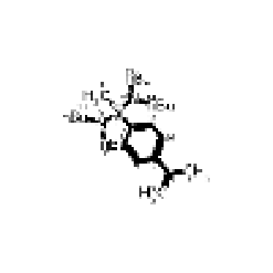 C=C(C)c1ccc([Si](C)(N(CCCC)CCCC)N(CCCC)CCCC)cc1